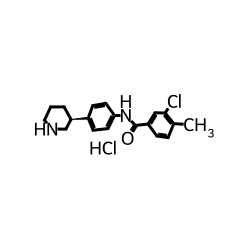 Cc1ccc(C(=O)Nc2ccc([C@@H]3CCCNC3)cc2)cc1Cl.Cl